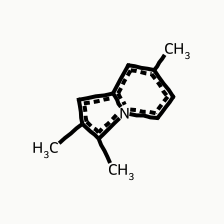 Cc1ccn2c(C)c(C)cc2c1